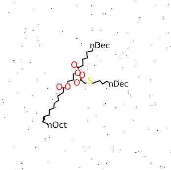 CCCCCCCC/C=C\CCCCCCCC(=O)OCC(COC(=O)CCCCCCCCCCCCCCC)OC(=O)CSCCCCCCCCCCCCCC